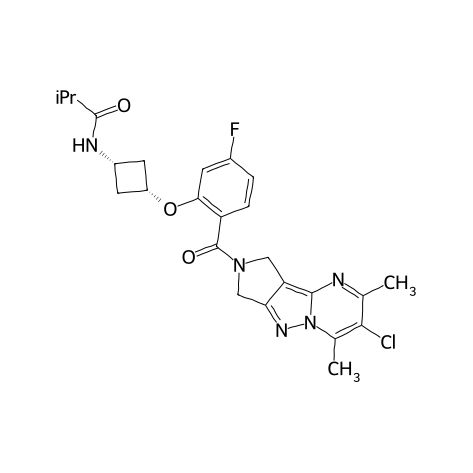 Cc1nc2c3c(nn2c(C)c1Cl)CN(C(=O)c1ccc(F)cc1O[C@H]1C[C@@H](NC(=O)C(C)C)C1)C3